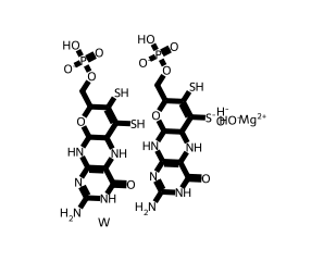 Nc1nc2c(c(=O)[nH]1)NC1C(S)=C(S)C(COP(=O)([O-])O)OC1N2.Nc1nc2c(c(=O)[nH]1)NC1C([S-])=C(S)C(COP(=O)([O-])O)OC1N2.[Mg+2].[OH-].[OH-].[W]